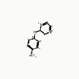 NC1=CCC(OC2CN=CC=N2)C=C1